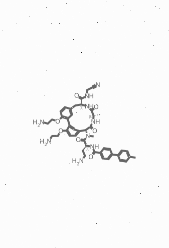 Cc1ccc(-c2ccc(C(=O)N[C@@H](CCN)C(=O)N(C)[C@@H]3C(=O)N[C@@H](C)C(=O)N[C@H](C(=O)NCC#N)Cc4ccc(OCCN)c(c4)-c4cc3ccc4OCCN)cc2)cc1